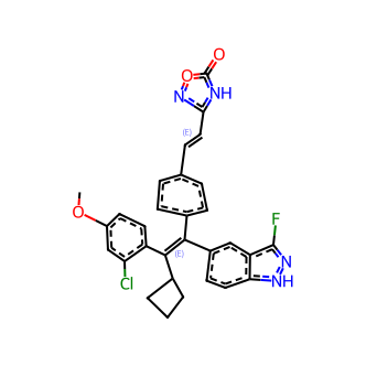 COc1ccc(/C(=C(\c2ccc(/C=C/c3noc(=O)[nH]3)cc2)c2ccc3[nH]nc(F)c3c2)C2CCC2)c(Cl)c1